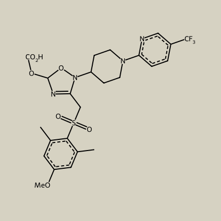 COc1cc(C)c(S(=O)(=O)CC2=NC(OC(=O)O)ON2C2CCN(c3ccc(C(F)(F)F)cn3)CC2)c(C)c1